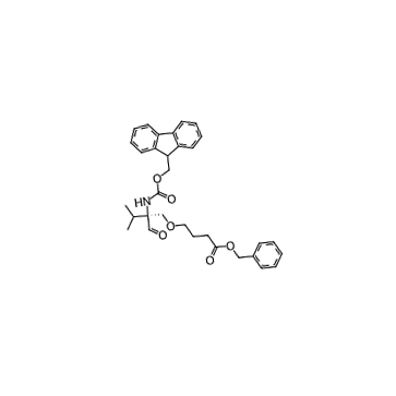 CC(C)[C@@](C=O)(COCCCC(=O)OCc1ccccc1)NC(=O)OCC1c2ccccc2-c2ccccc21